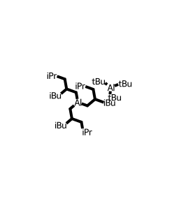 CCC(C)C(CC(C)C)[CH2][Al]([CH2]C(CC(C)C)C(C)CC)[CH2]C(CC(C)C)C(C)CC.C[C](C)(C)[Al]([C](C)(C)C)[C](C)(C)C